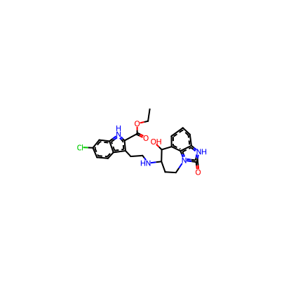 CCOC(=O)c1[nH]c2cc(Cl)ccc2c1CCNC1CCn2c(=O)[nH]c3cccc(c32)C1O